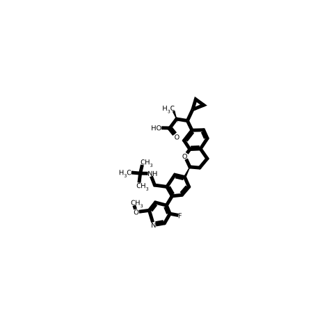 COc1cc(-c2ccc([C@@H]3CCc4ccc(C(C5CC5)[C@H](C)C(=O)O)cc4O3)cc2CNC(C)(C)C)c(F)cn1